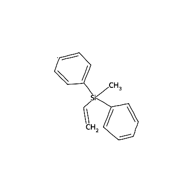 C=C[Si](C)(c1cc[c]cc1)c1ccccc1